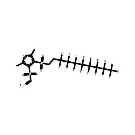 C=CS(=O)(=O)c1c(I)sc(I)c1S(=O)(=O)CCC(F)(F)C(F)(F)C(F)(F)C(F)(F)C(F)(F)C(F)(F)C(F)(F)C(F)(F)F